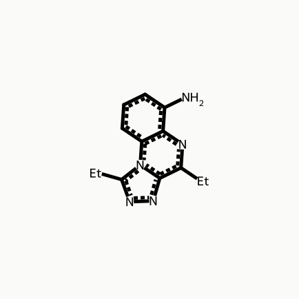 CCc1nc2c(N)cccc2n2c(CC)nnc12